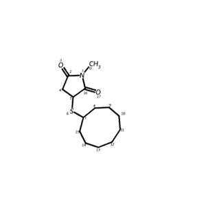 CN1C(=O)CC(SC2CCCCCCCC2)C1=O